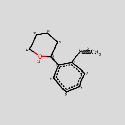 C=Cc1ccccc1C1CCCCO1